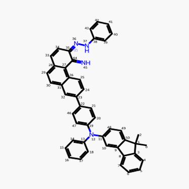 CC1(C)c2ccccc2-c2cc(N(c3ccccc3)c3ccc(-c4ccc5c6c(ccc5c4)C=C/C(=N/Nc4ccccc4)C6=N)cc3)ccc21